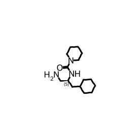 NC[C@H](CC1CCCCC1)NC(=O)N1CCCCC1